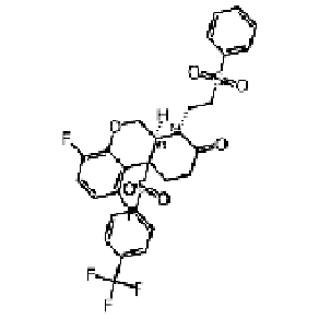 O=C1CCC2(S(=O)(=O)c3ccc(C(F)(F)F)cc3)c3c(F)ccc(F)c3OC[C@H]2[C@@H]1CCS(=O)(=O)c1ccccc1